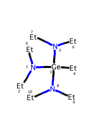 CC[N](CC)[Ge]([CH2]C)([N](CC)CC)[N](CC)CC